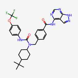 CC(C)(C)C1CCC(N(Cc2ccc(C(=O)Nc3ncnc4[nH]ncc34)cc2)C(=O)Nc2ccc(OC(F)(F)F)cc2)CC1